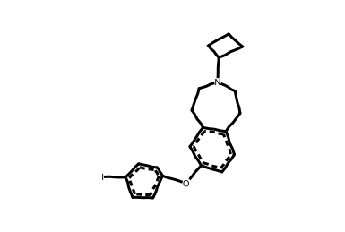 Ic1ccc(Oc2ccc3c(c2)CCN(C2CCC2)CC3)cc1